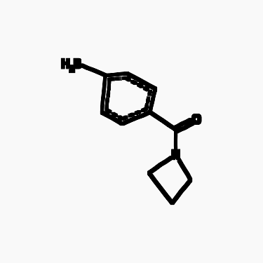 Bc1ccc(C(=O)N2CCC2)cc1